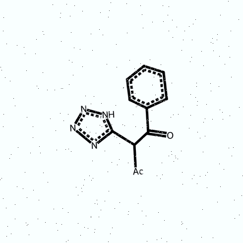 CC(=O)C(C(=O)c1ccccc1)c1nnn[nH]1